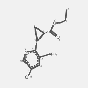 CCOC(=O)[C@H]1C[C@@H]1c1ncc(Cl)cc1F